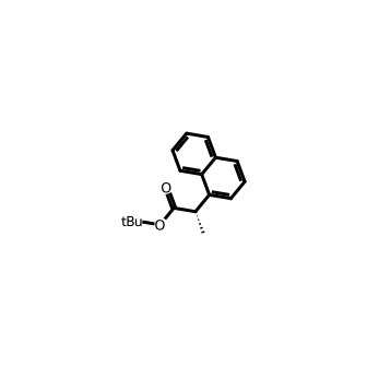 C[C@H](C(=O)OC(C)(C)C)c1cccc2ccccc12